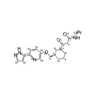 CC(C)NC(=O)CC(=O)N1CCC[C@@H](COc2ccc(-c3ccn[nH]3)nc2)C1